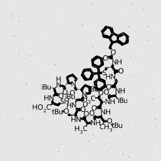 CC[C@H](C)[C@H](NC(=O)CNC(=O)[C@H](CSC(c1ccccc1)(c1ccccc1)c1ccccc1)NC(=O)OCC1c2ccccc2-c2ccccc21)C(=O)N[C@H](C(=O)N[C@H](C(=O)N[C@@H](C)C(=O)N[C@@H](COC(C)(C)C)C(=O)N[C@H](C(=O)N1CCC[C@H]1C(=O)N1CCC[C@H]1C(=O)N[C@H](C(=O)N[C@@H](CS)C(=O)O)[C@@H](C)CC)[C@@H](C)CC)[C@@H](C)OC(C)(C)C)[C@@H](C)OC(C)(C)C